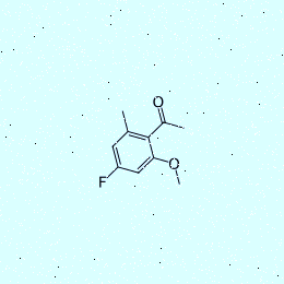 COc1cc(F)cc(C)c1C(C)=O